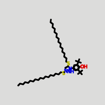 CCCCCCCCCCCCCCCCCCSC1CN(SCCCCCCCCCCCCCCCCCC)NN1c1cc(C(C)(C)C)c(O)c(C(C)(C)C)c1